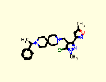 Cc1cc(-c2nn(C)c(Cl)c2CN2CCC3(CC2)CCN(C(C)c2ccccc2)CC3)no1